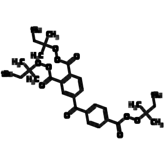 CC(C)(C)CC(C)(C)OOC(=O)c1ccc(C(=O)c2ccc(C(=O)OOC(C)(C)CC(C)(C)C)c(C(=O)OOC(C)(C)CC(C)(C)C)c2)cc1